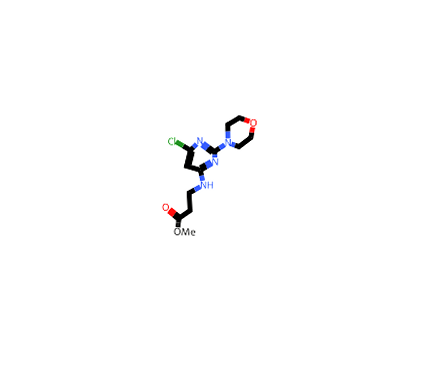 COC(=O)CCNc1cc(Cl)nc(N2CCOCC2)n1